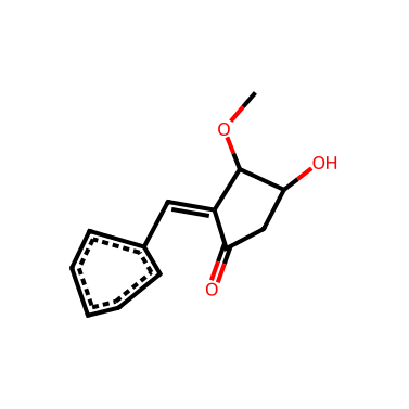 COC1C(=Cc2ccccc2)C(=O)CC1O